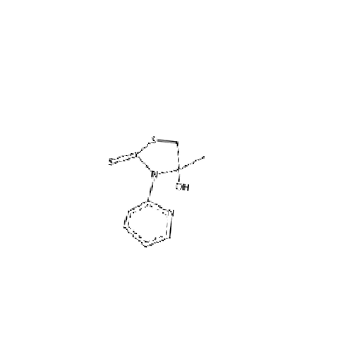 CC1(O)CSC(=S)N1c1ccccn1